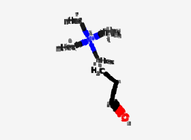 CCC=O.CCCCCC[N+](CCCCCC)(CCCCCC)CCCCCC